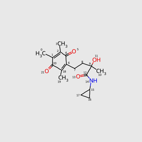 CC1=C(C)C(=O)C(CCC(C)(O)C(=O)NC2CC2)=C(C)C1=O